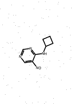 O=Nc1cncnc1NC1CCC1